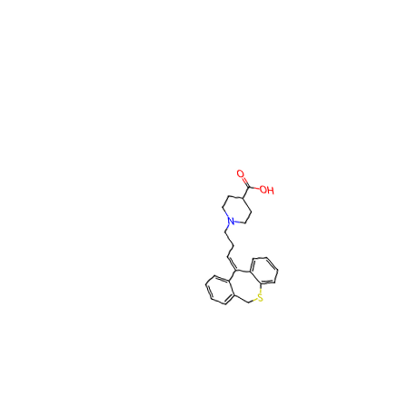 O=C(O)C1CCN(CCC=C2c3ccccc3CSc3ccccc32)CC1